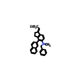 CCOC(=O)C=C1CCc2c1ccc(N(C)Cc1ccccc1)c2-c1ccc2ccccc2c1